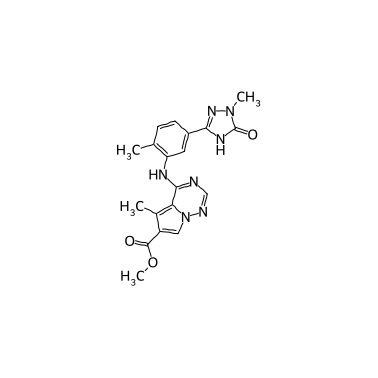 COC(=O)c1cn2ncnc(Nc3cc(-c4nn(C)c(=O)[nH]4)ccc3C)c2c1C